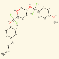 C=CCCC1CCC(OC(F)(F)C2CCC(OC(F)(F)C3CCC(OCCCC)CC3)CO2)CC1